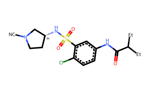 CCC(CC)C(=O)Nc1ccc(Cl)c(S(=O)(=O)N[C@@H]2CCN(C#N)C2)c1